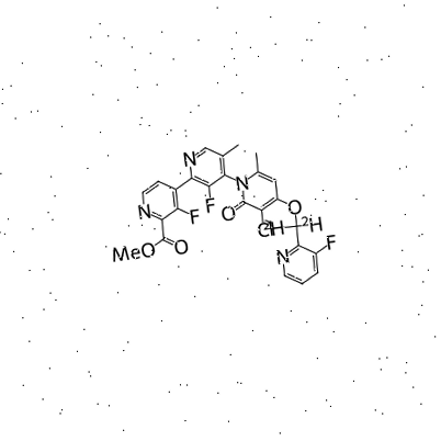 [2H]C([2H])(Oc1cc(C)n(-c2c(C)cnc(-c3ccnc(C(=O)OC)c3F)c2F)c(=O)c1Cl)c1ncccc1F